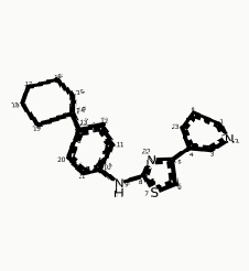 c1cncc(-c2csc(Nc3ccc(C4CCCCC4)cc3)n2)c1